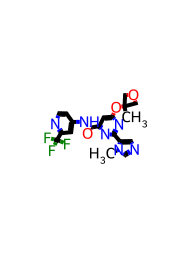 Cn1cncc1-c1nc(OC2(C)COC2)cc(C(=O)Nc2ccnc(C(F)(F)F)c2)n1